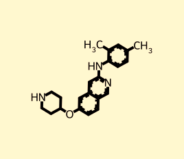 Cc1ccc(Nc2cc3cc(OC4CCNCC4)ccc3cn2)c(C)c1